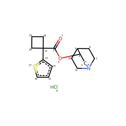 Cl.O=C(OC1CN2CCC1CC2)C1(c2cccs2)CCC1